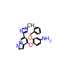 Cn1cnc(-c2cc(Oc3ccc(N)cc3OCc3ccccc3)c3ccnn3c2)c1